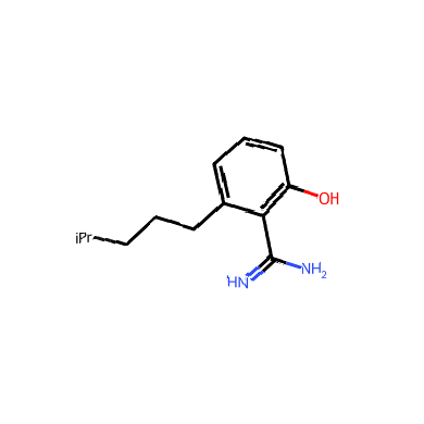 CC(C)CCCc1cccc(O)c1C(=N)N